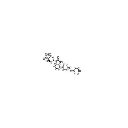 Cn1c(=O)n(C2CCC(C(=O)C=O)NC2)c2cccc(N3CCC(OCC4CCNCC4)CC3)c21